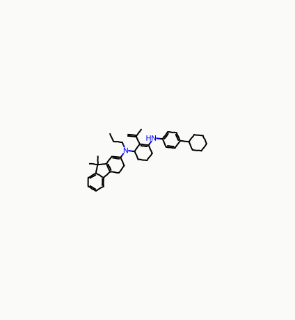 C=C(C)C1=C(Nc2ccc(C3CCCCC3)cc2)CCCC1N(CCC)C1=CC2=C(CC1)c1ccccc1C2(C)C